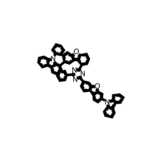 c1ccc(-c2nc(-c3ccc4c(c3)oc3cc(-n5c6ccccc6c6ccccc65)ccc34)nc(-c3cccc4oc5ccc(-c6cccc7c8ccccc8n(-c8ccccc8)c67)cc5c34)n2)cc1